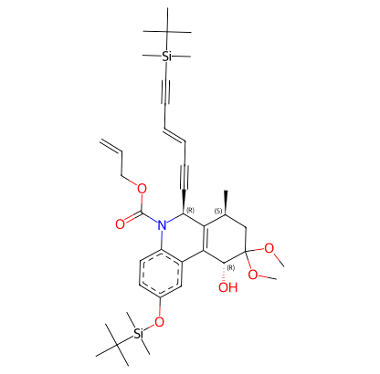 C=CCOC(=O)N1c2ccc(O[Si](C)(C)C(C)(C)C)cc2C2=C([C@@H](C)CC(OC)(OC)[C@@H]2O)[C@@H]1C#CC=CC#C[Si](C)(C)C(C)(C)C